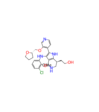 COc1c(Cl)cccc1Nc1c(-c2ccncc2OC[C@@H]2CCCO2)[nH]c2c1C(=O)NC[C@@H]2CCO